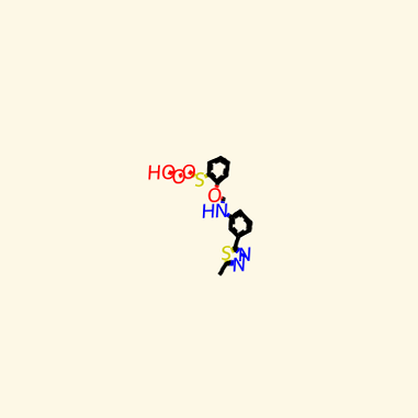 Cc1nnc(-c2cccc(NCOc3ccccc3SOOO)c2)s1